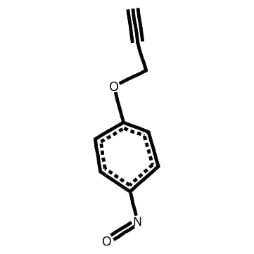 C#CCOc1ccc(N=O)cc1